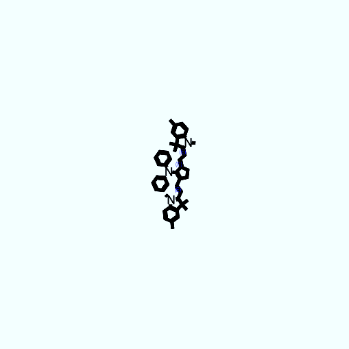 Cc1ccc2c(c1)C(C)(C)C(/C=C/C1=C(N(c3ccccc3)c3ccccc3)C(=C/C=C3/N(C)c4ccc(C)cc4C3(C)C)/CC1)=[N+]2C